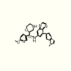 COc1ccc([C@H](Nc2cc(-c3ccc4ccn(C)c4c3)c3nccnc3c2)C2CNCCO2)cn1